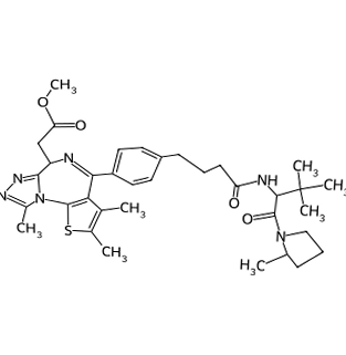 COC(=O)CC1N=C(c2ccc(CCCC(=O)NC(C(=O)N3CCCC3C)C(C)(C)C)cc2)c2c(sc(C)c2C)-n2c(C)nnc21